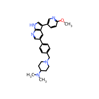 COc1ccc(-c2c[nH]c3ncc(-c4ccc(CN5CCC(N(C)C)CC5)cc4)cc23)cn1